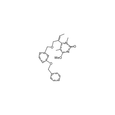 CC=C(COCc1cccc(OCc2ccccc2)c1)c1c(C)c(OC)nc(=O)n1C